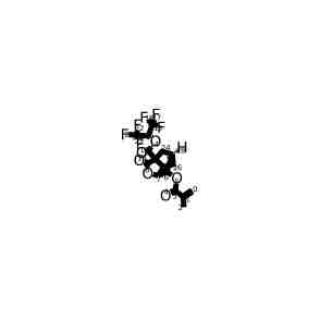 C=C(C)C(=O)OC1C2OC(=O)C3(C(=O)OC(C(F)(F)F)C(F)(F)F)C[C@H]1CC23